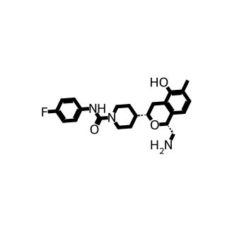 Cc1ccc2c(c1O)C[C@@H](C1CCN(C(=O)Nc3ccc(F)cc3)CC1)O[C@H]2CN